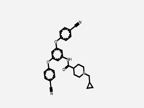 N#Cc1ccc(Oc2cc(NC(=O)C3CCN(CC4CC4)CC3)cc(Oc3ccc(C#N)cc3)c2)cc1